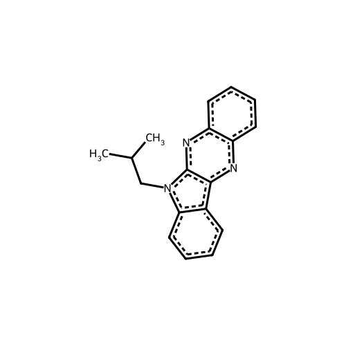 CC(C)Cn1c2ccccc2c2nc3ccccc3nc21